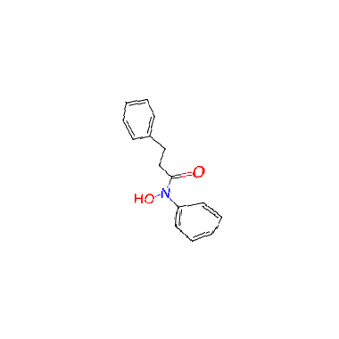 O=C(CCc1ccccc1)N(O)c1ccccc1